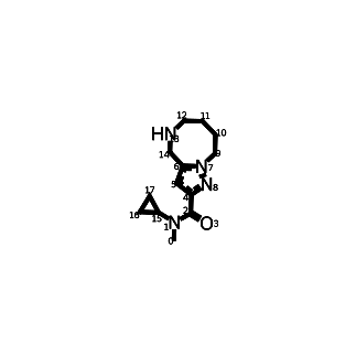 CN(C(=O)c1cc2n(n1)CCCCNC2)C1CC1